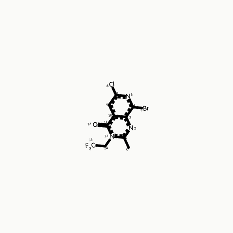 Cc1nc2c(Br)nc(Cl)cc2c(=O)n1CC(F)(F)F